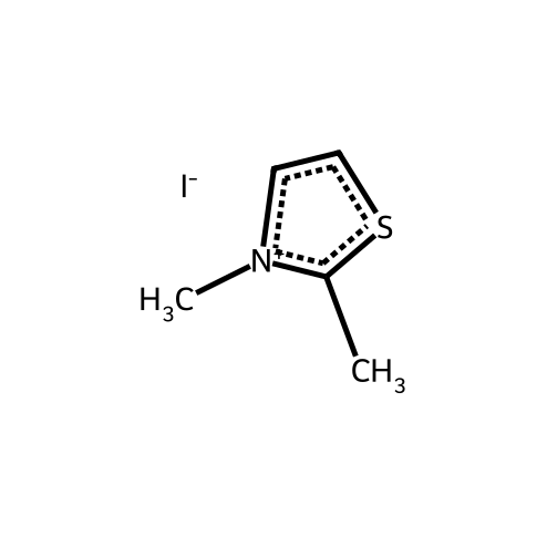 Cc1scc[n+]1C.[I-]